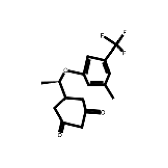 Cc1cc(O[C@H](C)C2CC(=O)CC(=O)C2)cc(C(F)(F)F)c1